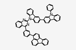 c1ccc(-n2c3ccccc3c3ccc(-c4ccc5c(c4)c4ccccc4n5-c4nc(-c5cccc(-c6ccc7c8c(cccc68)-c6ccccc6-7)c5)c5ccccc5n4)cc32)cc1